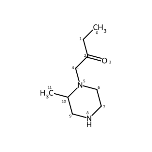 CCC(=O)[CH]N1CCNCC1C